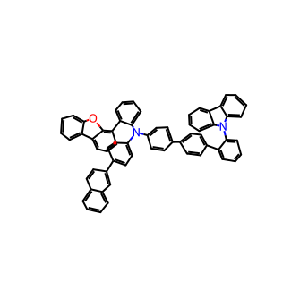 c1ccc(N(c2ccc(-c3ccc(-c4ccccc4-n4c5ccccc5c5ccccc54)cc3)cc2)c2ccc(-c3ccc4ccccc4c3)cc2)c(-c2cccc3c2oc2ccccc23)c1